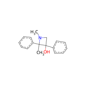 CN1CC(O)(c2ccccc2)C1(C)c1ccccc1